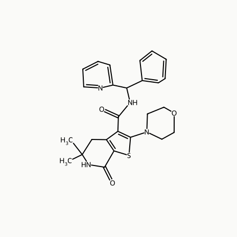 CC1(C)Cc2c(sc(N3CCOCC3)c2C(=O)NC(c2ccccc2)c2ccccn2)C(=O)N1